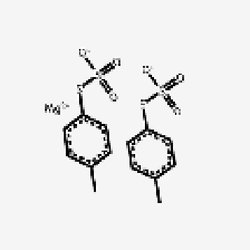 Cc1ccc(SS(=O)(=O)[O-])cc1.Cc1ccc(SS(=O)(=O)[O-])cc1.[Mg+2]